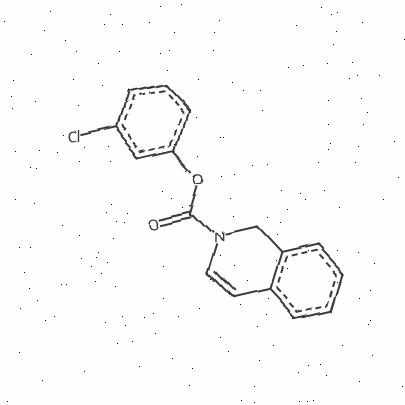 O=C(Oc1cccc(Cl)c1)N1C=Cc2ccccc2C1